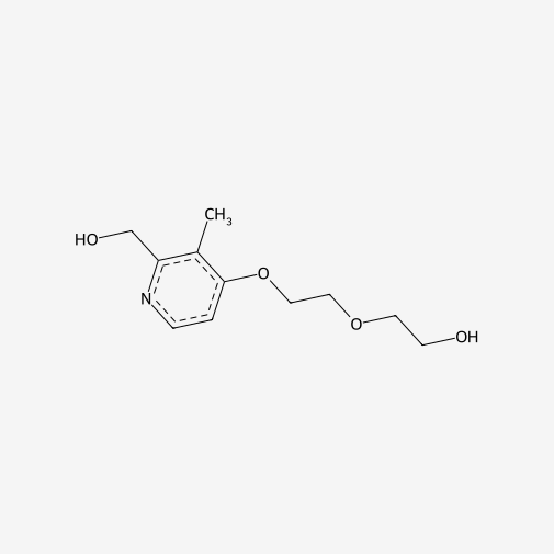 Cc1c(OCCOCCO)ccnc1CO